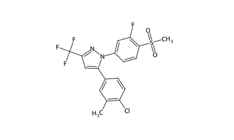 Cc1cc(-c2cc(C(F)(F)F)nn2-c2ccc(S(C)(=O)=O)c(F)c2)ccc1Cl